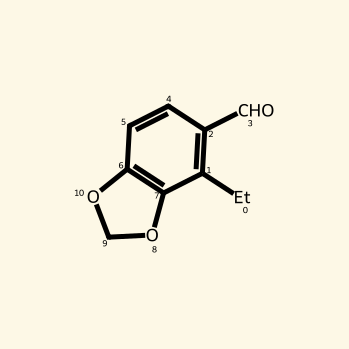 CCc1c(C=O)ccc2c1OCO2